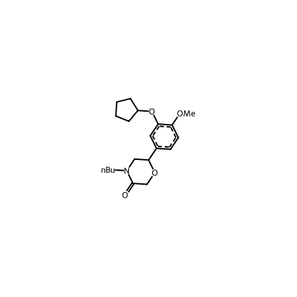 CCCCN1CC(c2ccc(OC)c(OC3CCCC3)c2)OCC1=O